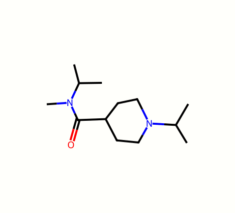 CC(C)N1CCC(C(=O)N(C)C(C)C)CC1